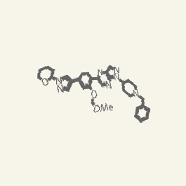 COCOc1cc(-c2cnn(C3CCCCO3)c2)ccc1-c1cnc2c(cnn2C2CCN(Cc3ccccc3)CC2)n1